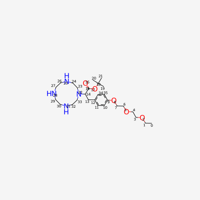 CCOCCOCCOc1ccc(CC(C(=O)OC(C)(C)C)N2CCNCCNCCNCC2)cc1